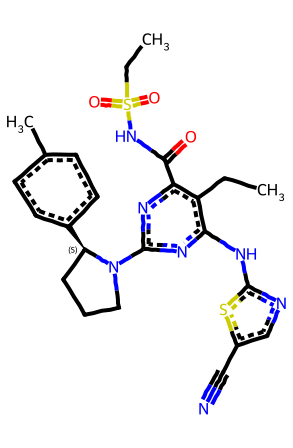 CCc1c(Nc2ncc(C#N)s2)nc(N2CCC[C@H]2c2ccc(C)cc2)nc1C(=O)NS(=O)(=O)CC